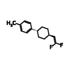 Cc1ccc([C@H]2CC[C@H](C=C(F)F)CC2)cc1